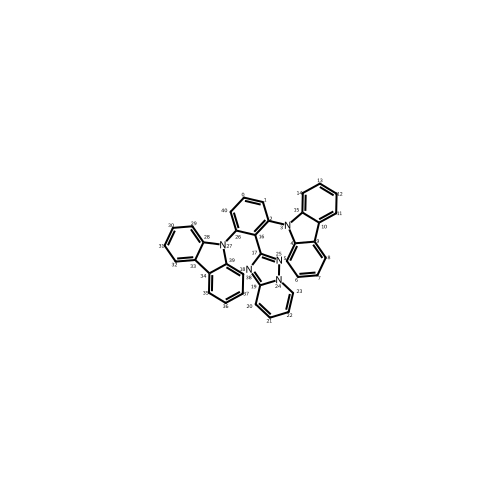 c1cc(-n2c3ccccc3c3ccccc32)c(-c2nc3ccccn3n2)c(-n2c3ccccc3c3ccccc32)c1